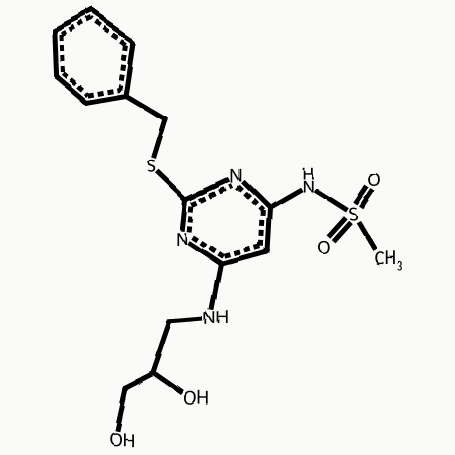 CS(=O)(=O)Nc1cc(NCC(O)CO)nc(SCc2ccccc2)n1